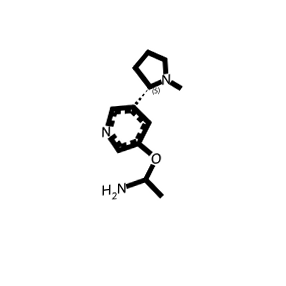 CC(N)Oc1cncc([C@@H]2CCCN2C)c1